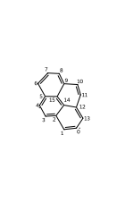 [c]1cc2c[c]c3cccc4ccc(c1)c2c34